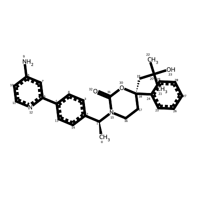 C[C@@H](c1ccc(-c2cc(N)ccn2)cc1)N1CC[C@](CC(C)(C)O)(c2ccccc2)OC1=O